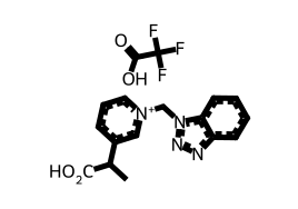 CC(C(=O)O)c1ccc[n+](Cn2nnc3ccccc32)c1.O=C(O)C(F)(F)F